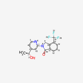 C[C@H](O)c1ccnc(N2Cc3c(cccc3C(F)(F)F)C2=O)c1